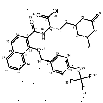 C=C1CC(C)CC(CC[C@H](NC(=O)c2ccc3ccccc3c2OCc2ccc(OC(F)(F)F)cc2)C(=O)O)C1